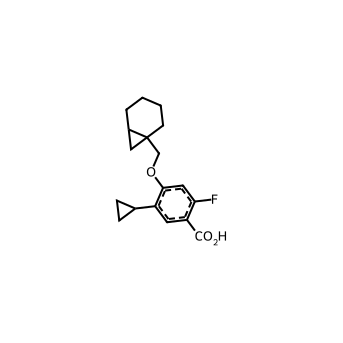 O=C(O)c1cc(C2CC2)c(OCC23CCCCC2C3)cc1F